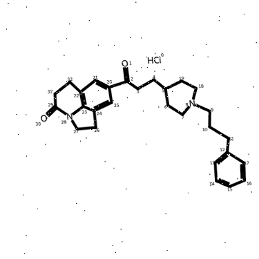 Cl.O=C(CCC1CCN(CCCc2ccccc2)CC1)c1cc2c3c(c1)CCN3C(=O)CC2